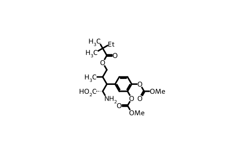 CCC(C)(C)C(=O)OCC(C)C(c1ccc(OC(=O)OC)c(OC(=O)OC)c1)[C@H](N)C(=O)O